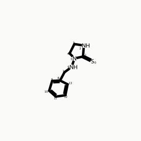 S=C1NCCN1NCc1ccccc1